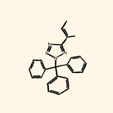 C/C=C(\C)c1nnn(C(c2ccccc2)(c2ccccc2)c2ccccc2)n1